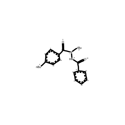 CCCCc1ccc(C(=O)N(NC(=O)c2ccccc2)C(C)(C)C)cc1